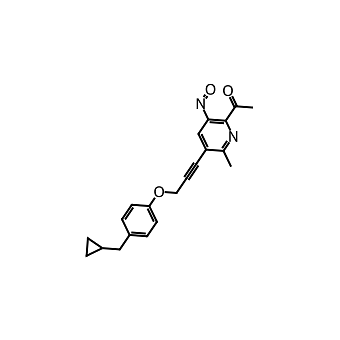 CC(=O)c1nc(C)c(C#CCOc2ccc(CC3CC3)cc2)cc1N=O